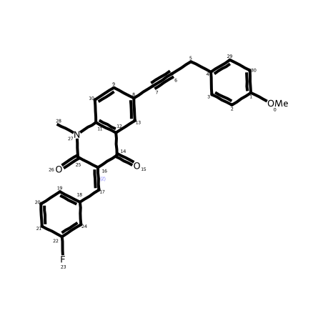 COc1ccc(CC#Cc2ccc3c(c2)C(=O)/C(=C/c2cccc(F)c2)C(=O)N3C)cc1